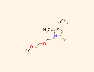 C=CC1=C(C)N(CCOCCOCC)C(Br)S1